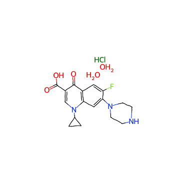 Cl.O.O.O=C(O)c1cn(C2CC2)c2cc(N3CCNCC3)c(F)cc2c1=O